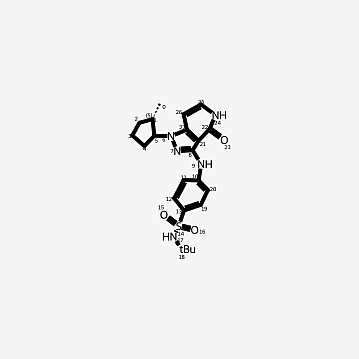 C[C@H]1CCCC1n1nc(Nc2ccc(S(=O)(=O)NC(C)(C)C)cc2)c2c(=O)[nH]ccc21